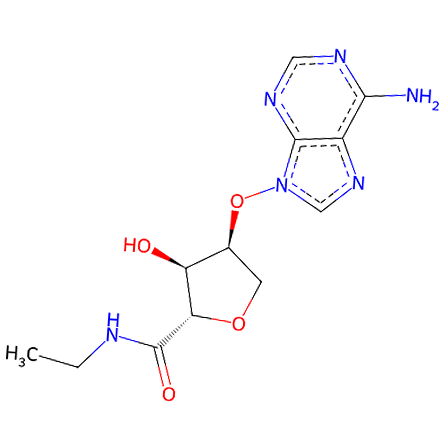 CCNC(=O)[C@H]1OC[C@H](On2cnc3c(N)ncnc32)[C@@H]1O